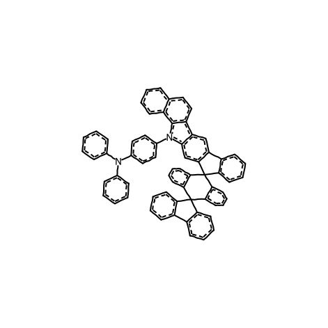 c1ccc(N(c2ccccc2)c2ccc(-n3c4cc5c(cc4c4ccc6ccccc6c43)-c3ccccc3C53c4ccccc4C4(c5ccccc5-c5ccccc54)c4ccccc43)cc2)cc1